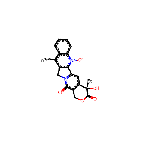 CCCc1c2c([n+]([O-])c3ccccc13)-c1cc3c(c(=O)n1C2)COC(=O)[C@]3(O)CC